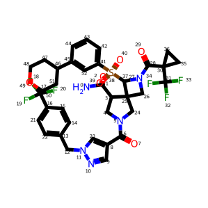 NC(=O)C1CN(C(=O)c2cnn(Cc3ccc(C(F)(F)F)cc3)c2)CC12CN(C(=O)C1(C(F)(F)F)CC1)C2S(=O)(=O)c1cccc(C2CCOCC2)c1